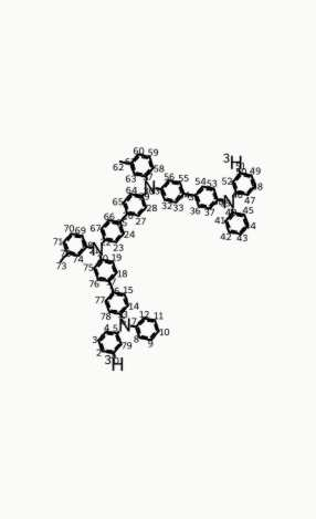 [3H]c1cccc(N(c2ccccc2)c2ccc(-c3ccc(N(c4ccc(-c5ccc(N(c6ccc(-c7ccc(N(c8ccccc8)c8cccc([3H])c8)cc7)cc6)c6cccc(C)c6)cc5)cc4)c4cccc(C)c4)cc3)cc2)c1